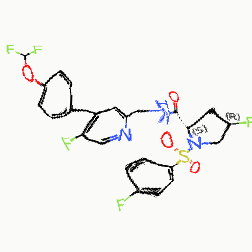 O=C(NCc1cc(-c2ccc(OC(F)F)cc2)c(F)cn1)[C@@H]1C[C@@H](F)CN1S(=O)(=O)c1ccc(F)cc1